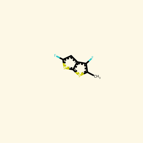 Cc1sc2sc(F)cc2c1F